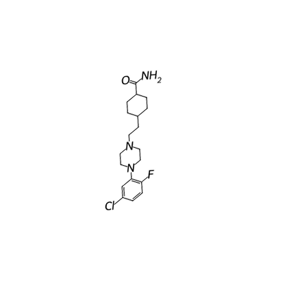 NC(=O)C1CCC(CCN2CCN(c3cc(Cl)ccc3F)CC2)CC1